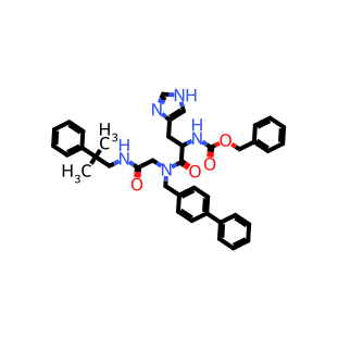 CC(C)(CNC(=O)CN(Cc1ccc(-c2ccccc2)cc1)C(=O)C(Cc1c[nH]cn1)NC(=O)OCc1ccccc1)c1ccccc1